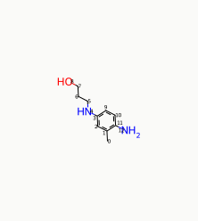 Cc1cc(NCCCO)ccc1N